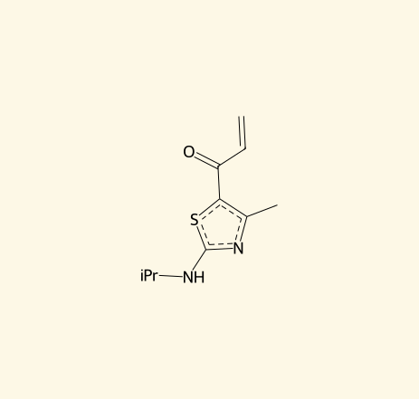 C=CC(=O)c1sc(NC(C)C)nc1C